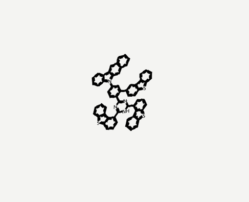 c1ccc2cc3c(cc2c1)c1ccccc1n3-c1ccc(C2=NC(c3cccc4sc5ccccc5c34)NC(c3cccc4sc5ccccc5c34)=N2)c(-c2ccc3sc4ccccc4c3c2)c1